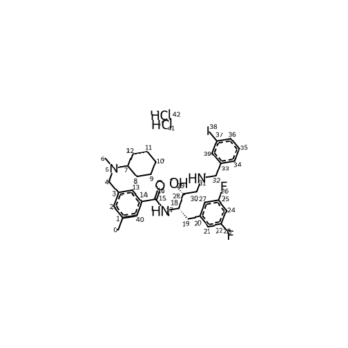 Cc1cc(CN(C)C2CCCCC2)cc(C(=O)N[C@@H](Cc2cc(F)cc(F)c2)[C@H](O)CNCc2cccc(I)c2)c1.Cl.Cl